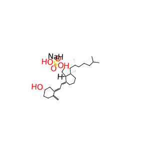 C=C1CC[C@H](O)CC1=CC=C1CCC[C@]2(C)[C@@H]([C@H](C)CCCC(C)C)CC[C@@H]12.O=S(=O)(O)O.[NaH]